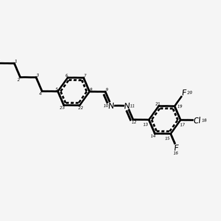 CCCCCc1ccc(C=NN=Cc2cc(F)c(Cl)c(F)c2)cc1